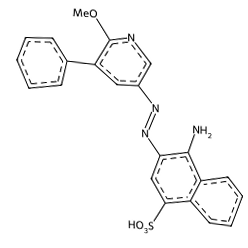 COc1ncc(N=Nc2cc(S(=O)(=O)O)c3ccccc3c2N)cc1-c1ccccc1